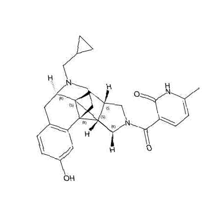 Cc1ccc(C(=O)N2C[C@H]3C[C@@]45CC[C@@H]2[C@@H]3[C@@]42CCN(CC3CC3)[C@@H]5Cc3ccc(O)cc32)c(=O)[nH]1